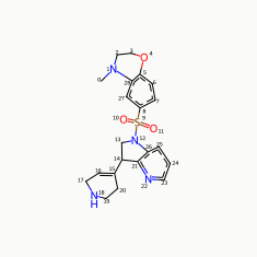 CN1CCOc2ccc(S(=O)(=O)N3CC(C4=CCNCC4)c4ncccc43)cc21